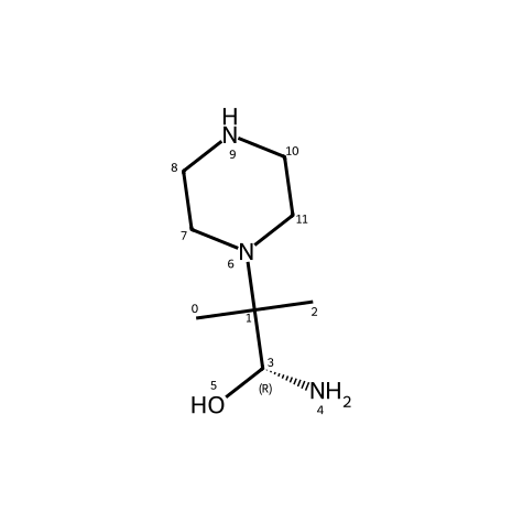 CC(C)([C@H](N)O)N1CCNCC1